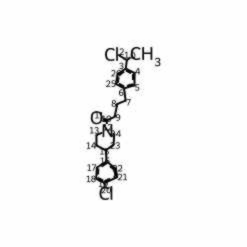 CC(Cl)c1ccc(CCCC(=O)N2CCC(c3ccc(Cl)cc3)CC2)cc1